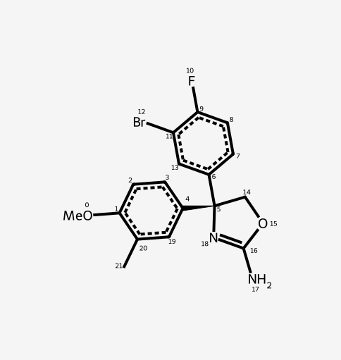 COc1ccc([C@@]2(c3ccc(F)c(Br)c3)COC(N)=N2)cc1C